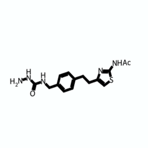 CC(=O)Nc1nc(CCc2ccc(CNC(=O)NN)cc2)cs1